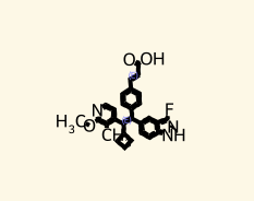 COc1nccc(/C(=C(\c2ccc(/C=C/C(=O)O)cc2)c2ccc3[nH]nc(F)c3c2)C2CCC2)c1C